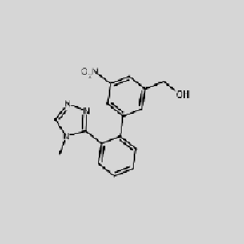 Cn1cnnc1-c1ccccc1-c1cc(CO)cc([N+](=O)[O-])c1